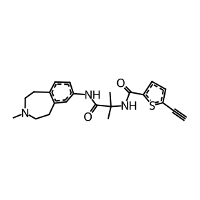 C#Cc1ccc(C(=O)NC(C)(C)C(=O)Nc2ccc3c(c2)CCN(C)CC3)s1